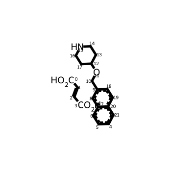 O=C(O)C=CC(=O)O.c1ccc2cc(COC3CCNCC3)ccc2c1